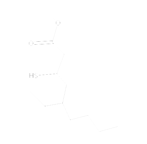 CCCCC(CC)CC(S)CC(=O)OC